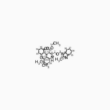 CCOC(=O)C1=C(COCn2c(C)nc3ccccc32)NC2=C(C(=O)C(C)(C)CC2)C1c1ccccc1Cl